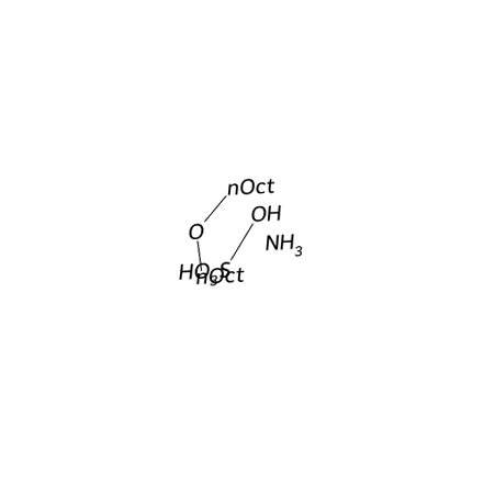 CCCCCCCCOCCCCCCCC.N.O=S(=O)(O)O